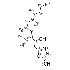 Cc1nnc(CC(O)c2cc(CC(F)C(F)CCF)ccc2F)o1